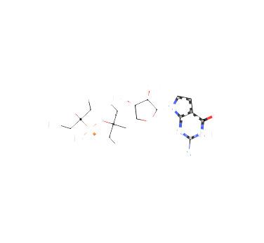 CCC(CC)(C[C@H]1O[C@@H](n2ccc3c(=O)[nH]c(N)nc32)[C@H](O)[C@@H]1O)OP(=O)(O)C(O)(CC)CC